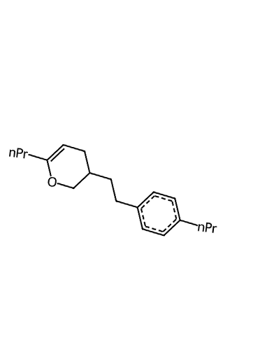 CCCC1=CCC(CCc2ccc(CCC)cc2)CO1